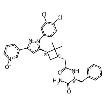 CC1(C)[C@H](CC(=O)N[C@@H](Cc2ccccc2)C(N)=O)C[C@H]1c1cc(-c2ccc[n+]([O-])c2)nn1-c1ccc(Cl)c(Cl)c1